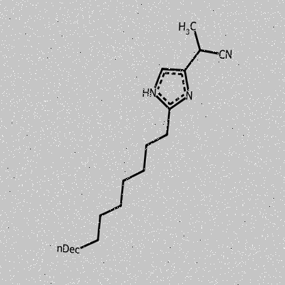 CCCCCCCCCCCCCCCCCc1nc(C(C)C#N)c[nH]1